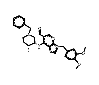 COc1ccc(Cn2cnc3c(N[C@H]4CN(Cc5ccccc5)CC[C@H]4C)c(C=O)cnc32)cc1OC